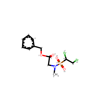 CN(CC(=O)OCc1ccccc1)S(=O)(=O)C(Br)CBr